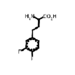 NC(CCc1ccc(F)c(F)c1)C(=O)O